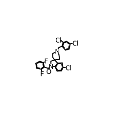 O=C(c1c(F)cccc1F)N1CC2(CCN(Cc3ccc(Cl)cc3Cl)CC2)c2cc(Cl)ccc21